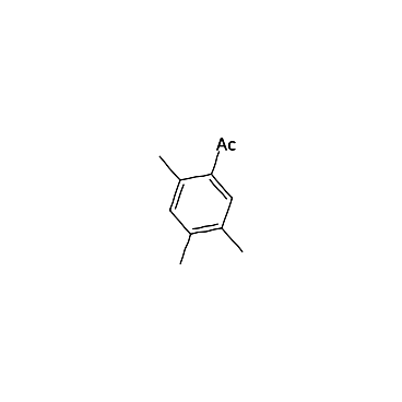 CC(=O)c1cc(C)c(C)cc1C